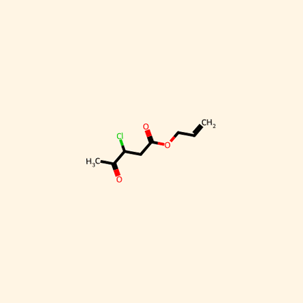 C=CCOC(=O)CC(Cl)C(C)=O